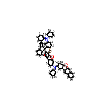 c1ccc(N(c2ccccc2)c2ccc3c(c2)C2(c4ccccc4-c4ccccc42)c2ccc4c(oc5cc(N(c6ccccc6)c6ccc7oc8cc9ccccc9cc8c7c6)ccc54)c2S3)cc1